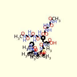 CC[C@H](C)[C@H](NC(=O)[C@H]1CCCCN1C)C(=O)N(C)[C@H](C[C@@H](OC(C)=O)c1nc(C(=O)N[C@@H](Cc2ccc(OC(=O)CNC(=O)CNC(=O)CNC(C)=O)c(NC(=O)CNC(=O)CNC(=O)CNC(C)=O)c2)C[C@H](C)C(=O)O)cs1)C(C)C